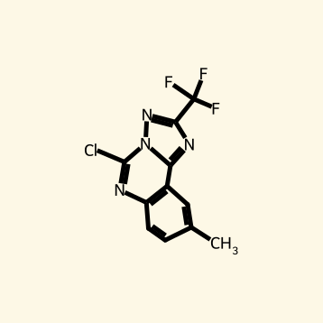 Cc1ccc2nc(Cl)n3nc(C(F)(F)F)nc3c2c1